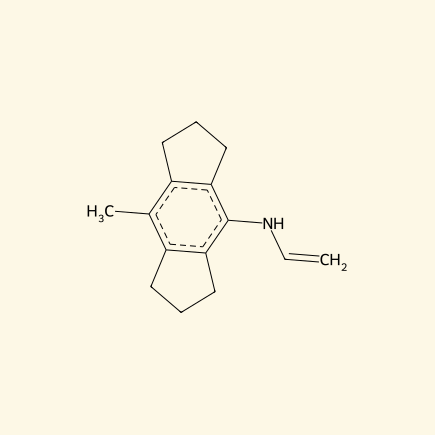 C=CNc1c2c(c(C)c3c1CCC3)CCC2